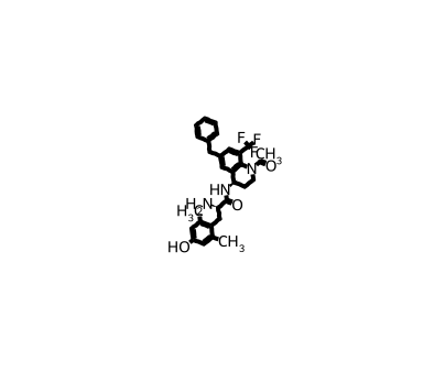 CC(=O)N1CC[C@@H](NC(=O)[C@@H](N)Cc2c(C)cc(O)cc2C)c2cc(Cc3ccccc3)cc(C(F)(F)F)c21